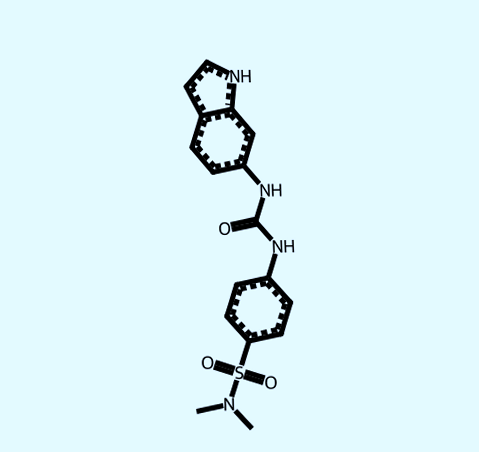 CN(C)S(=O)(=O)c1ccc(NC(=O)Nc2ccc3cc[nH]c3c2)cc1